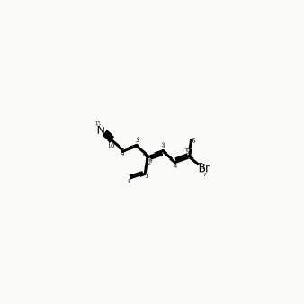 C=C/C(=C\C=C(/C)Br)CCC#N